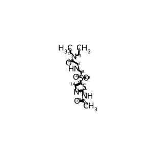 CCN(CC)C(=O)CNCS(=O)(=O)c1cnc(NC(C)=O)s1